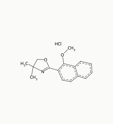 COc1c(C2=NC(C)(C)CO2)ccc2ccccc12.Cl